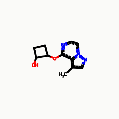 Cc1cnn2ccnc(OC3CCC3O)c12